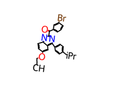 C#CCOc1ccc2nc(C(=O)c3cccc(Br)c3)nc(-c3ccc(C(C)C)cc3)c2c1